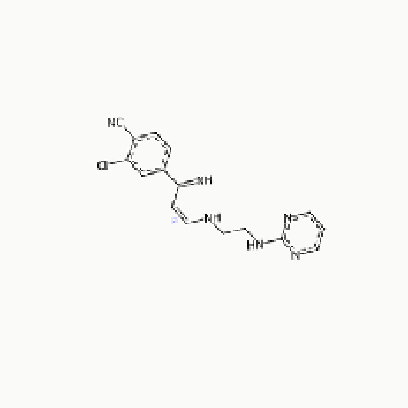 N#Cc1ccc(C(=N)/C=C\NCCNc2ncccn2)cc1Cl